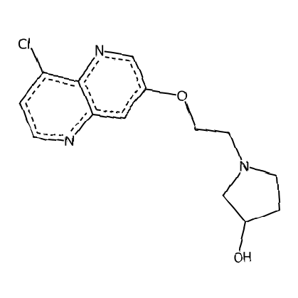 OC1CCN(CCOc2cnc3c(Cl)ccnc3c2)C1